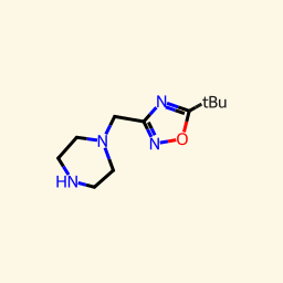 CC(C)(C)c1nc(CN2CCNCC2)no1